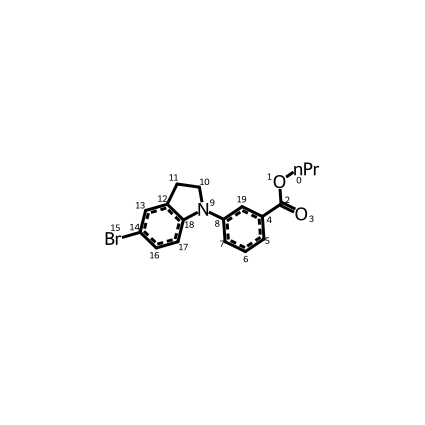 CCCOC(=O)c1cccc(N2CCc3cc(Br)ccc32)c1